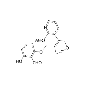 COc1ncccc1C1=C(COc2cccc(O)c2C=O)CCOC1